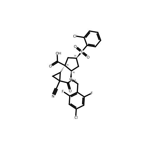 N#CC1(C(N)=O)CC1[C@]1(C(=O)O)C[C@@H](S(=O)(=O)c2ccccc2Cl)C[C@H]1OCc1c(F)cc(Cl)cc1F